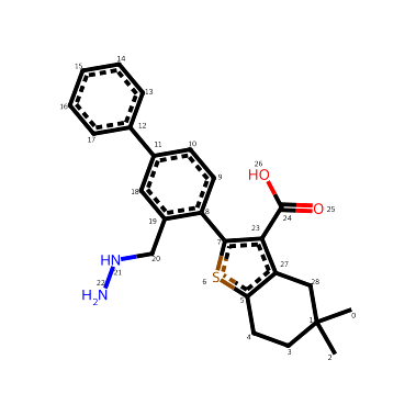 CC1(C)CCc2sc(-c3ccc(-c4ccccc4)cc3CNN)c(C(=O)O)c2C1